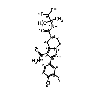 CC(C)(NC(=O)N1CCn2nc(-c3ccc(Cl)c(Cl)c3)c(C(N)=O)c2C1)C(F)F